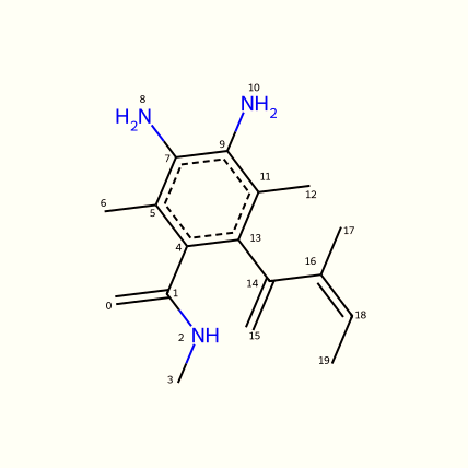 C=C(NC)c1c(C)c(N)c(N)c(C)c1C(=C)/C(C)=C\C